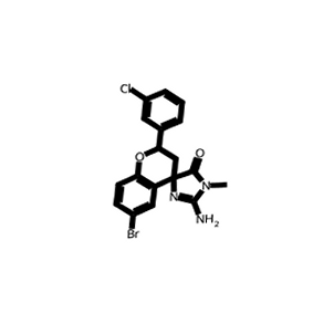 CN1C(=O)C2(CC(c3cccc(Cl)c3)Oc3ccc(Br)cc32)N=C1N